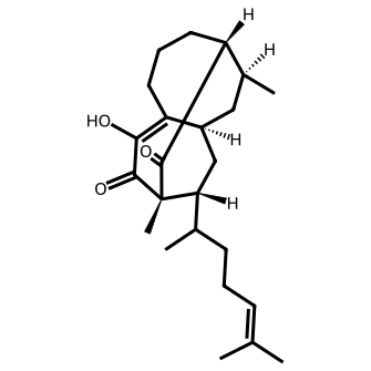 CC(C)=CCCC(C)[C@H]1C[C@@H]2C[C@H](C)[C@H]3CCCC2=C(O)C(=O)[C@]1(C)C3=O